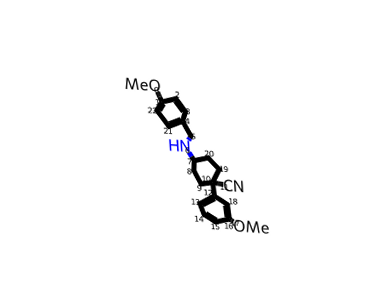 COc1ccc(CNC2CCC(C#N)(c3cccc(OC)c3)CC2)cc1